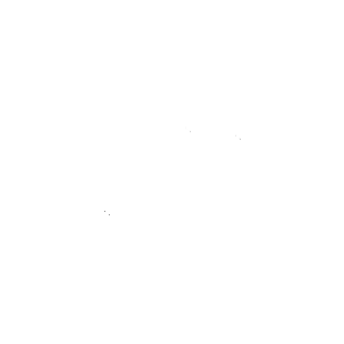 CN(C)CCCCC1CCCN(CCN)C1